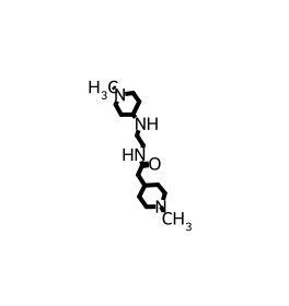 CN1CCC(CC(=O)NCCNC2CCN(C)CC2)CC1